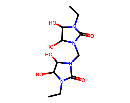 CCN1C(=O)N(CN2C(=O)N(CC)C(O)C2O)C(O)C1O